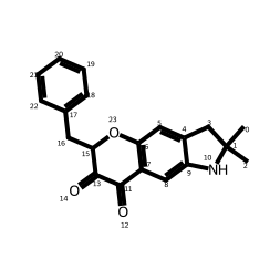 CC1(C)Cc2cc3c(cc2N1)C(=O)C(=O)C(Cc1ccccc1)O3